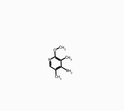 Bc1c(C)cnc(OC)c1C